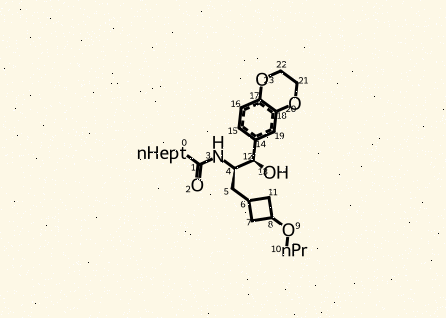 CCCCCCCC(=O)N[C@H](CC1CC(OCCC)C1)[C@H](O)c1ccc2c(c1)OCCO2